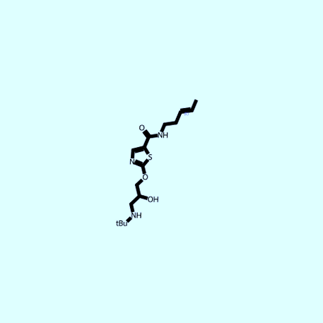 C/C=C/CCNC(=O)c1cnc(OCC(O)CNC(C)(C)C)s1